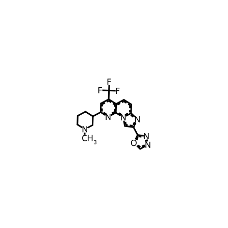 CN1CCCC(c2cc(C(F)(F)F)c3ccc4nc(-c5nnco5)cn4c3n2)C1